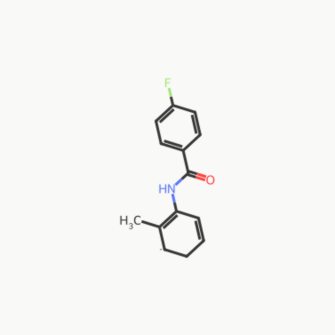 CC1=C(NC(=O)c2ccc(F)cc2)C=CC[CH]1